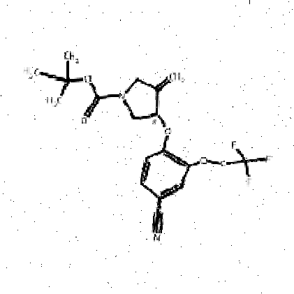 C=C1CN(C(=O)OC(C)(C)C)C[C@@H]1Oc1ccc(C#N)cc1OCC(F)(F)F